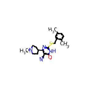 Cc1ccc(C)c(CSc2nc(C3CCN(C)CC3)c(C#N)c(=O)[nH]2)c1